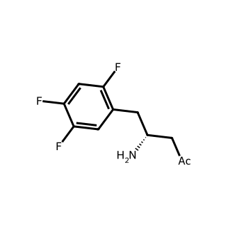 CC(=O)C[C@H](N)Cc1cc(F)c(F)cc1F